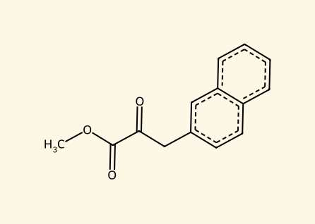 COC(=O)C(=O)Cc1ccc2ccccc2c1